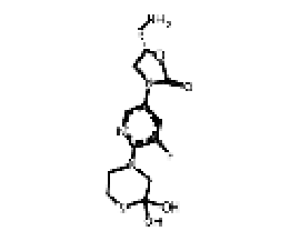 NC[C@H]1CN(c2cnc(N3CCSC(O)(O)C3)c(F)c2)C(=O)O1